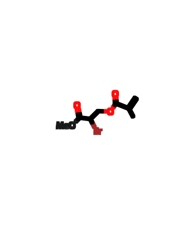 C=C(C)C(=O)OCC(Br)C(=O)OC